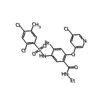 CCNC(=O)c1cc(NS(=O)(=O)c2cc(C)c(Cl)cc2Cl)c(Br)cc1Oc1cncc(Cl)c1